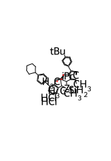 CC1=Cc2c(-c3ccc(C(C)(C)C)cc3)ccc(C)c2[CH]1[Zr]([CH3])([CH3])(=[SiH2])[CH]1C(C(C)C)=Cc2c(-c3ccc(C4CCCCC4)cc3)cccc21.Cl.Cl